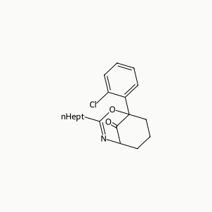 CCCCCCCC1=NC2CCCC(c3ccccc3Cl)(O1)C2=O